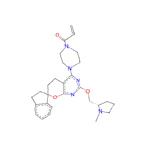 C=CC(=O)N1CCN(c2nc(OC[C@@H]3CCCN3C)nc3c2CCC2(CCc4ccccc42)O3)CC1